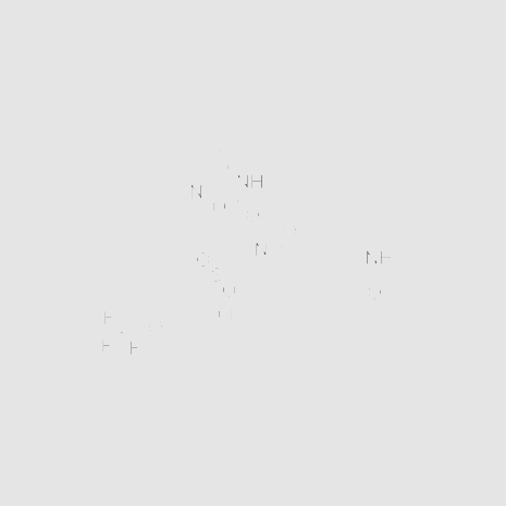 CC(=O)NC1CCC(CC(=O)N2C[C@H](S(=O)(=O)c3ccc(OCC(F)(F)F)cc3Cl)C[C@@H]2OC(=O)NC2(C#N)CC2)CC1